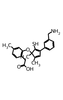 CC1=CC(c2cccc(CN)c2)=C(S)C1(C)Oc1cc(C)ccc1CC(=O)O